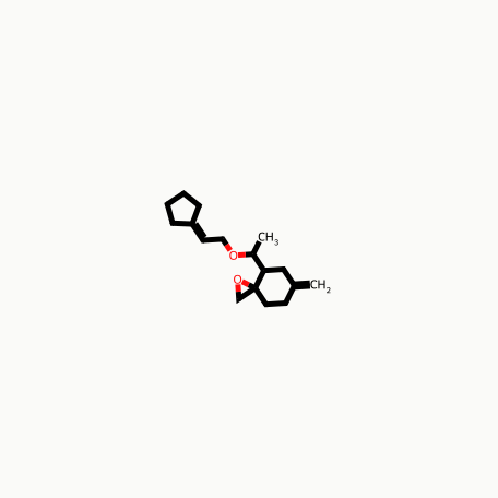 C=C1CCC2(CO2)C(C(C)OCC=C2CCCC2)C1